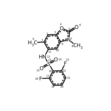 Cc1cc2oc(=O)n(C)c2cc1NS(=O)(=O)c1c(F)cccc1F